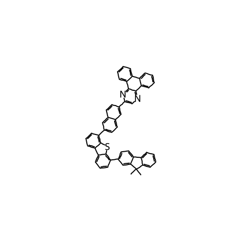 CC1(C)c2ccccc2-c2ccc(-c3cccc4c3sc3c(-c5ccc6cc(-c7cnc8c9ccccc9c9ccccc9c8n7)ccc6c5)cccc34)cc21